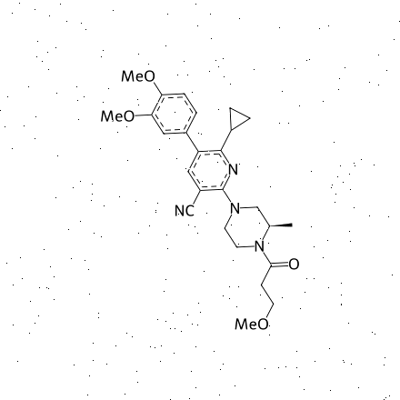 COCCC(=O)N1CCN(c2nc(C3CC3)c(-c3ccc(OC)c(OC)c3)cc2C#N)C[C@H]1C